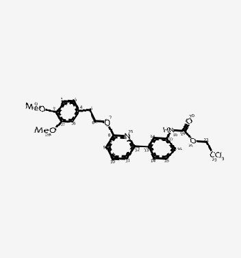 COc1ccc(CCOc2cccc(-c3cccc(NC(=O)OCC(Cl)(Cl)Cl)c3)n2)cc1OC